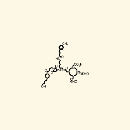 Cc1ccc(CCCC(=O)NCCCCC(CNC(=O)CN2CCN(COC=O)CCN(COC=O)CCN(CC(=O)O)CC2)SC2CC(=O)N(CCCC(=O)N3CCN(CCCCO)CC3)C2=O)cc1